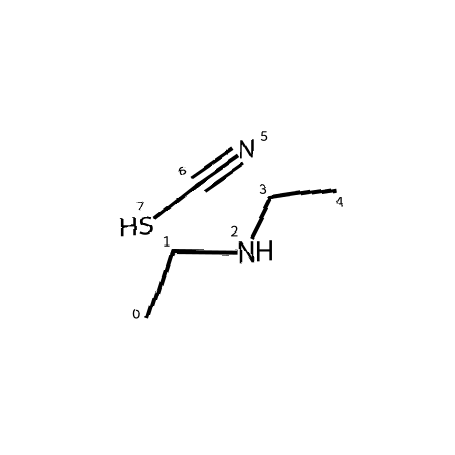 CCNCC.N#CS